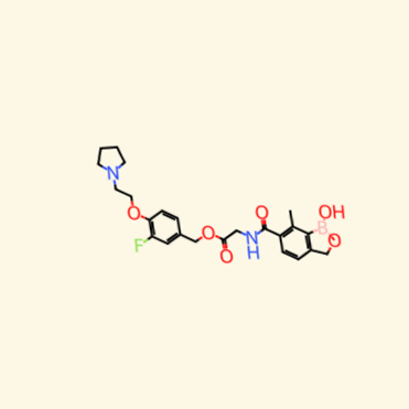 Cc1c(C(=O)NCC(=O)OCc2ccc(OCCN3CCCC3)c(F)c2)ccc2c1B(O)OC2